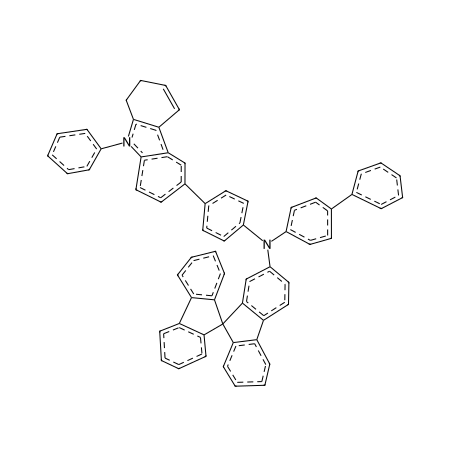 C1=Cc2c(n(-c3ccccc3)c3ccc(-c4ccc(N(c5ccc(-c6ccccc6)cc5)c5ccc6c(c5)C5(c7ccccc7-c7ccccc75)c5ccccc5-6)cc4)cc23)CC1